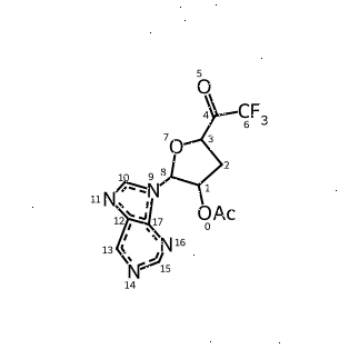 CC(=O)OC1CC(C(=O)C(F)(F)F)OC1n1cnc2cncnc21